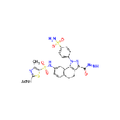 CC(=O)Nc1nc(C)c(S(=O)(=O)Nc2ccc3c(c2)-c2c(c(C(=O)N=N)nn2-c2ccc(S(N)(=O)=O)cc2)CC3)s1